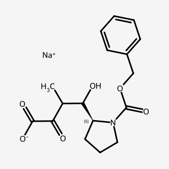 CC(C(=O)C(=O)[O-])C(O)[C@@H]1CCCN1C(=O)OCc1ccccc1.[Na+]